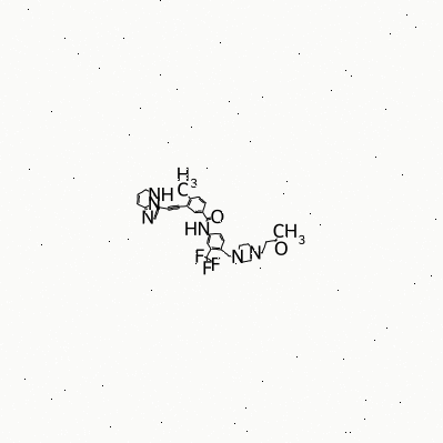 CC(=O)CCN1CCN(Cc2ccc(NC(=O)c3ccc(C)c(C#Cc4cnc5n4NCC=C5)c3)cc2C(F)(F)F)CC1